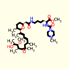 COC(=O)[C@@H](CCCCNC(=O)C[C@H]1CC[C@H](C)[C@@H](/C(C)=C/C=C/[C@@H](C)C[C@@]2(C)O[C@@H]2[C@H](C)[C@@H](OC)[C@@H](C)O)O1)NC(=O)N1CCN(C)CC1